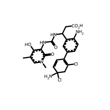 Cc1cn(C)c(=O)c(NC(=O)NC(CC(=O)O)c2cc(C3=C(Cl)CC(N)(Cl)C=C3)ccc2N)c1O